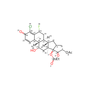 CCC(=O)O[C@]1(C(=O)COC(C)=O)C(C)C[C@H]2[C@@H]3CC(F)C4=C(Cl)C(=O)C=C[C@]4(C)[C@H]3C(O)C[C@@]21C